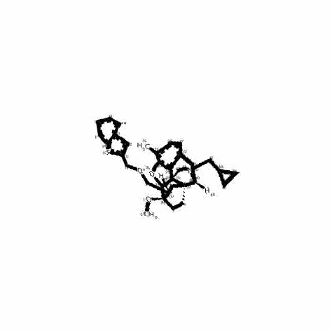 CO[C@]12CC[C@@]3(C[C@H]1COCc1cc4ccccc4s1)[C@H]1Cc4ccc(C)c5c4[C@@]3(CCN1CC1CC1)C2O5